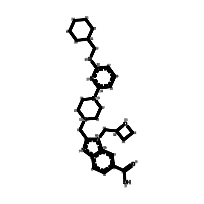 O=C(O)c1ccc2nc(CN3CCN(c4cccc(OCC5CCCCC5)n4)CC3)n(CC3CCO3)c2c1